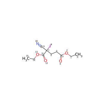 CCOC(=O)CCC(I)(C#N)C(=O)OCC